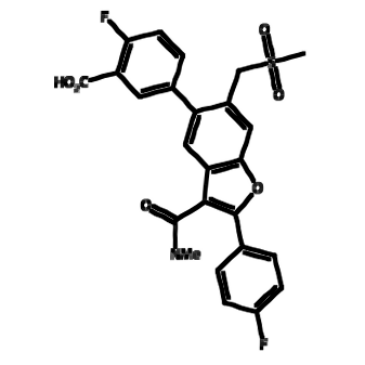 CNC(=O)c1c(-c2ccc(F)cc2)oc2cc(CS(C)(=O)=O)c(-c3ccc(F)c(C(=O)O)c3)cc12